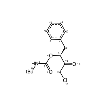 CC(C)(C)NC(=O)O[C@@H](Cc1ccccc1)C(=O)CCl